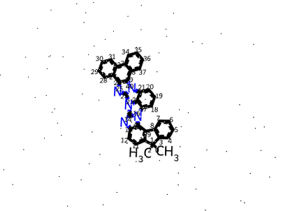 CC1(C)c2ccccc2-c2c1ccc1nc3n(c4cccc5c4n3c3nc4c6ccccc6c6ccccc6c4n53)c21